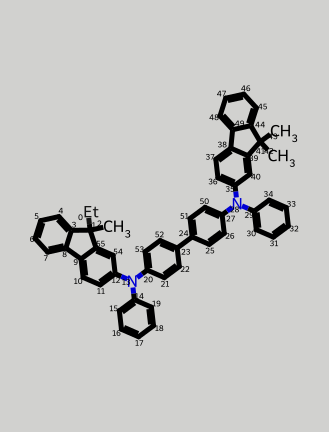 CCC1(C)c2ccccc2-c2ccc(N(c3ccccc3)c3ccc(-c4ccc(N(c5ccccc5)c5ccc6c(c5)C(C)(C)c5ccccc5-6)cc4)cc3)cc21